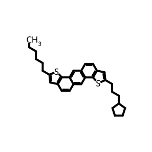 CCCCCCc1cc2ccc3cc4c(ccc5cc(CCCC6CCCC6)sc54)cc3c2s1